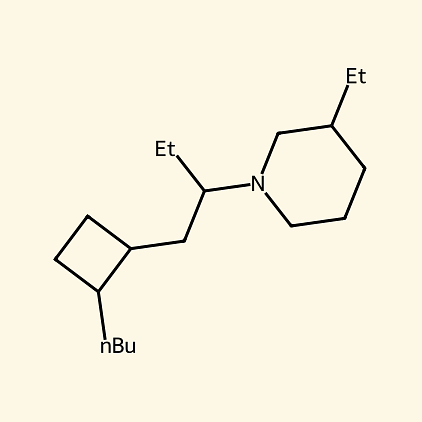 CCCCC1CCC1CC(CC)N1CCCC(CC)C1